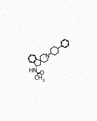 CC(=O)N[C@H]1CC2(CCN(C3CCC(c4ccccc4)CC3)CC2)c2ccccc21